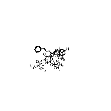 CN(C)S(=O)(=O)C[C@H](NC(=O)OC(C)(C)C)C(=O)N[C@@H](CCCc1ccccc1)B1O[C@@H]2C[C@@H]3C[C@@H](C3(C)C)[C@]2(C)O1